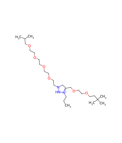 CCC[N+]1=C(COCCOCCC(C)(C)C)CN(CCOCCOCCOCCOCC(C)C)N1